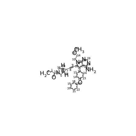 C=CC(=O)N1C[C@@H]2C(C#Cc3c(-c4ccc(Oc5ccccc5)cc4)c4c(N)ncnc4n3CCOC)[C@@H]2C1